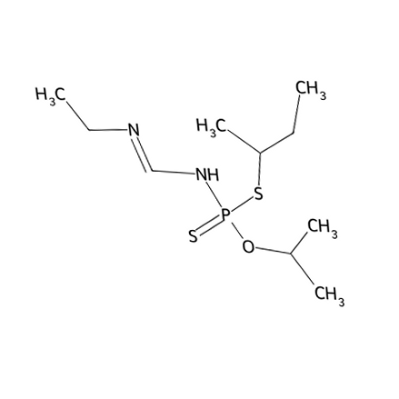 CCN=CNP(=S)(OC(C)C)SC(C)CC